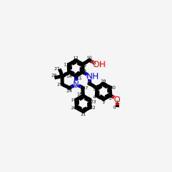 COc1ccc(CNc2c(CO)ccc3c2N(Cc2ccccc2)CCC3(C)C)cc1